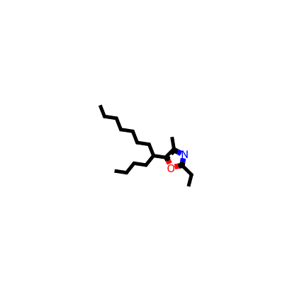 CCCCCCCC(CCCC)c1oc(CC)nc1C